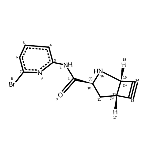 O=C(Nc1cccc(Br)n1)[C@@H]1C[C@H]2C#C[C@H]2N1